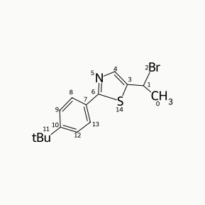 CC(Br)c1cnc(-c2ccc(C(C)(C)C)cc2)s1